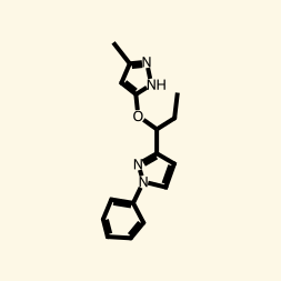 CCC(Oc1cc(C)n[nH]1)c1ccn(-c2ccccc2)n1